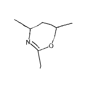 CC1=NC(C)CC(C)O1